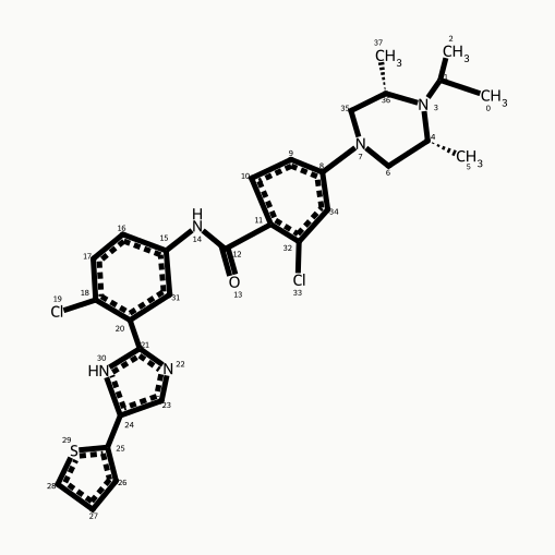 CC(C)N1[C@H](C)CN(c2ccc(C(=O)Nc3ccc(Cl)c(-c4ncc(-c5cccs5)[nH]4)c3)c(Cl)c2)C[C@@H]1C